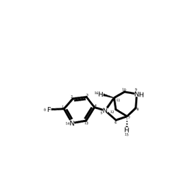 Fc1ccc(N2C[C@@H]3CNC[C@@H]2C3)cn1